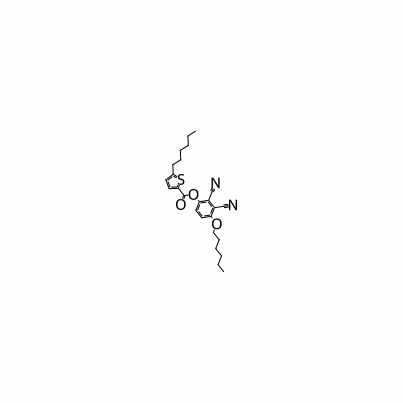 CCCCCCOc1ccc(OC(=O)c2ccc(CCCCCC)s2)c(C#N)c1C#N